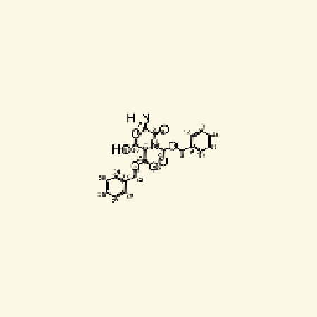 NCC(=O)N(C(=O)OCc1ccccc1)C(C(=O)O)C(=O)OCc1ccccc1